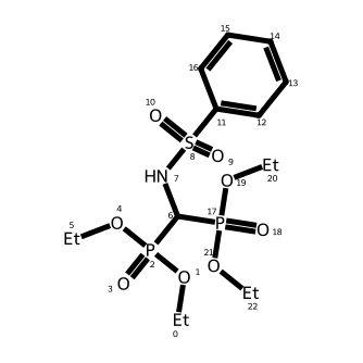 CCOP(=O)(OCC)C(NS(=O)(=O)c1ccccc1)P(=O)(OCC)OCC